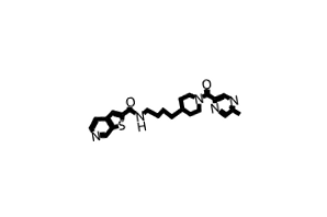 Cc1cnc(C(=O)N2CCC(CCCCNC(=O)c3cc4ccncc4s3)CC2)cn1